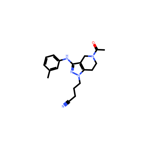 CC(=O)N1CCc2c(c(Nc3cccc(C)c3)nn2CCCC#N)C1